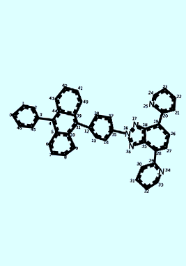 c1ccc(-c2c3ccccc3c(-c3ccc(-n4nc5c(-c6ccccn6)ccc(-c6ccccn6)c5n4)cc3)c3ccccc23)cc1